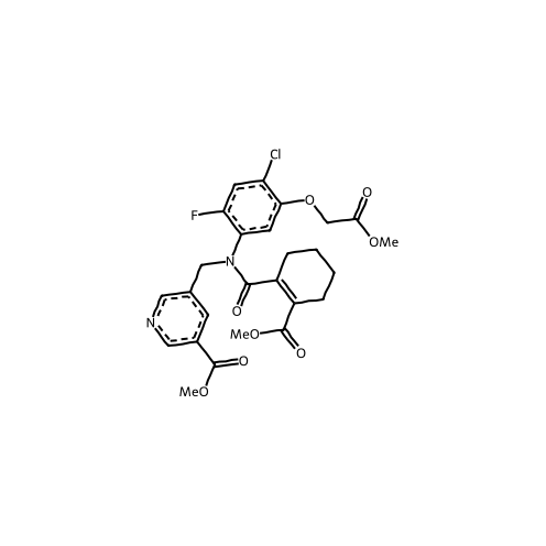 COC(=O)COc1cc(N(Cc2cncc(C(=O)OC)c2)C(=O)C2=C(C(=O)OC)CCCC2)c(F)cc1Cl